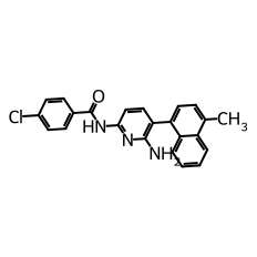 Cc1ccc(-c2ccc(NC(=O)c3ccc(Cl)cc3)nc2N)c2ccccc12